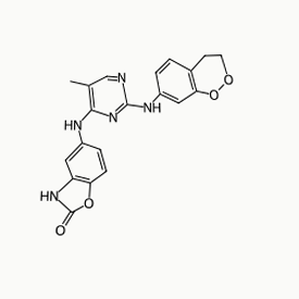 Cc1cnc(Nc2ccc3c(c2)OOCC3)nc1Nc1ccc2oc(=O)[nH]c2c1